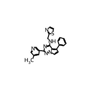 Cc1cncc(-c2nc(NCc3nccs3)c3c(-c4ccccc4)ccn3n2)c1